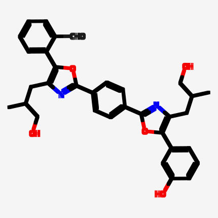 CC(CO)Cc1nc(-c2ccc(-c3nc(CC(C)CO)c(-c4ccccc4C=O)o3)cc2)oc1-c1cccc(O)c1